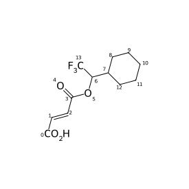 O=C(O)C=CC(=O)OC(C1CCCCC1)C(F)(F)F